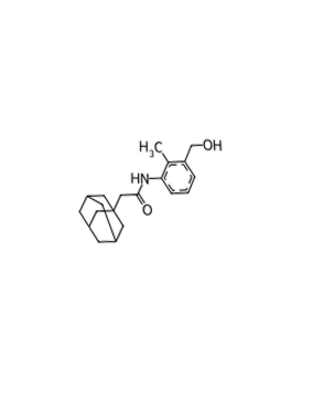 Cc1c(CO)cccc1NC(=O)CC12CC3CC(CC(C3)C1)C2